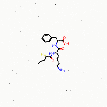 CCCC(S)C(=O)NC(CCCCN)C(=O)NC(Cc1ccccc1)C(=O)O